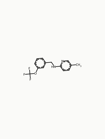 Cc1ccc(NCc2cccc(OC(F)(F)F)c2)nc1